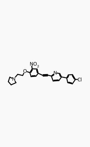 O=[N+]([O-])c1cc(C#Cc2ccc(-c3ccc(Cl)cc3)cn2)ccc1OCCN1CCCC1